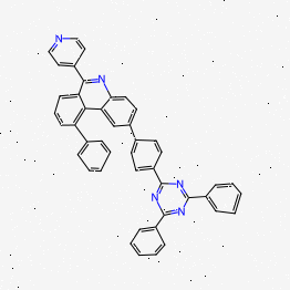 c1ccc(-c2nc(-c3ccccc3)nc(-c3ccc(-c4ccc5nc(-c6ccncc6)c6cccc(-c7ccccc7)c6c5c4)cc3)n2)cc1